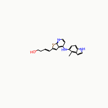 Cc1c(Nc2ccnc3sc(C=CCCO)cc23)ccc2[nH]ccc12